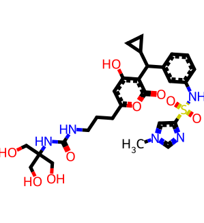 Cn1cnc(S(=O)(=O)Nc2cccc(C(c3c(O)cc(CCCNC(=O)NC(CO)(CO)CO)oc3=O)C3CC3)c2)c1